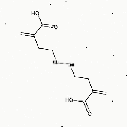 C=C(CC[Se][Se]CCC(=C)C(=O)O)C(=O)O